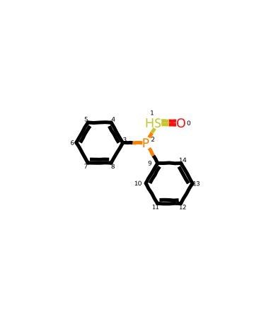 O=[SH]P(c1ccccc1)c1ccccc1